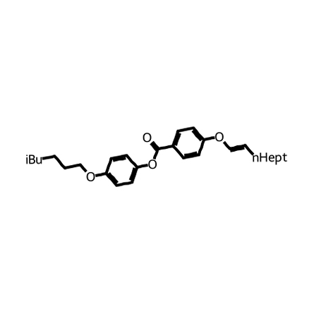 CCCCCCCC=COc1ccc(C(=O)Oc2ccc(OCCCC(C)CC)cc2)cc1